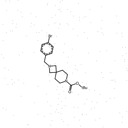 CC(C)(C)OC(=O)N1CCC2(CC1)CN(Cc1ccc(Br)cc1)C2